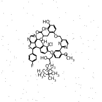 COc1ccccc1-c1nccc(COc2ccc(O)cc2CC(Oc2ncnc3sc(-c4ccc(F)cc4)c(-c4ccc(OCC(O)CO[Si](C)(C)C(C)(C)C)c(Cl)c4C)c23)C(=O)O)n1